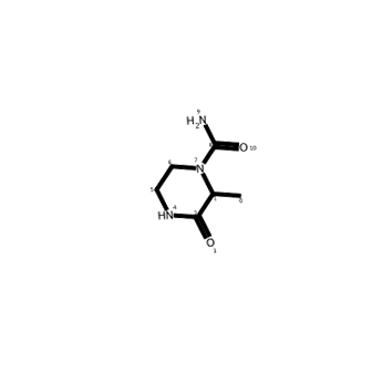 CC1C(=O)NCCN1C(N)=O